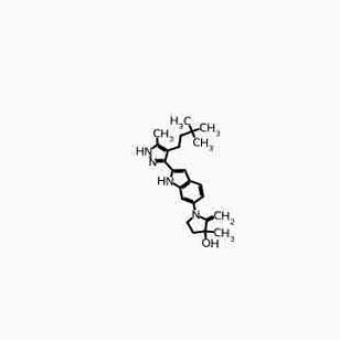 C=C1N(c2ccc3cc(-c4n[nH]c(C)c4CCC(C)(C)C)[nH]c3c2)CCC1(C)O